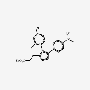 CCOC(=O)CCc1ccc(-c2ccc([S+](C)[O-])cc2)n1-c1ccc(C#N)cc1C